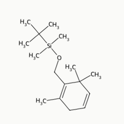 CC1=C(CO[Si](C)(C)C(C)(C)C)C(C)(C)C=CC1